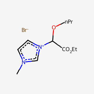 CCCOC(C(=O)OCC)[n+]1ccn(C)c1.[Br-]